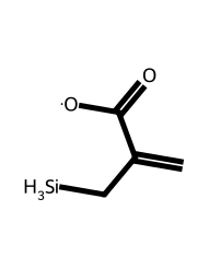 C=C(C[SiH3])C([O])=O